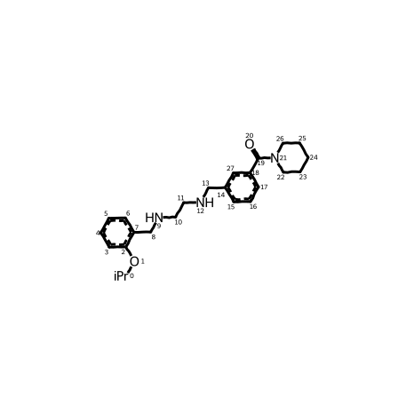 CC(C)Oc1ccccc1CNCCNCc1cccc(C(=O)N2CCCCC2)c1